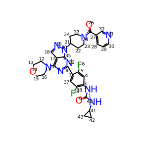 O=C(Nc1cc(F)c(-c2nc(N3CCOCC3)c3cnn(C4CCN(C(=O)c5cccnc5)CC4)c3n2)cc1F)NC1CC1